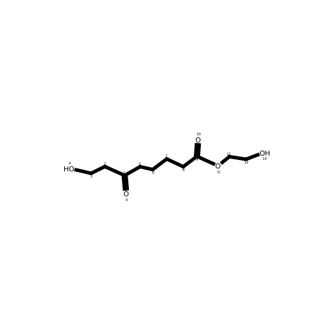 O=C(CCO)CCCCC(=O)OCCO